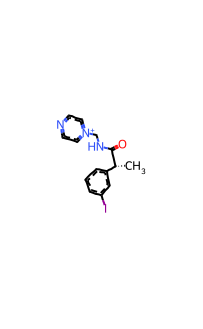 C[C@@H](C(=O)NC[n+]1ccncc1)c1cccc(I)c1